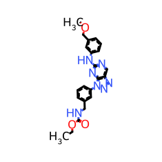 CCOC(=O)NCc1cccc(-n2nnc3cnc(Nc4cccc(COC)c4)nc32)c1